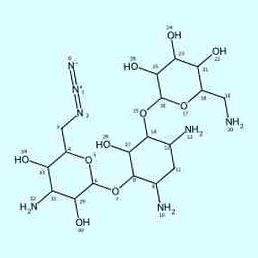 [N-]=[N+]=NCC1OC(OC2C(N)CC(N)C(OC3OC(CN)C(O)C(O)C3O)C2O)C(O)C(N)C1O